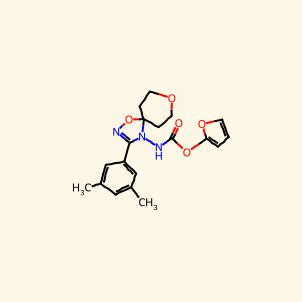 Cc1cc(C)cc(C2=NOC3(CCOCC3)N2NC(=O)Oc2ccco2)c1